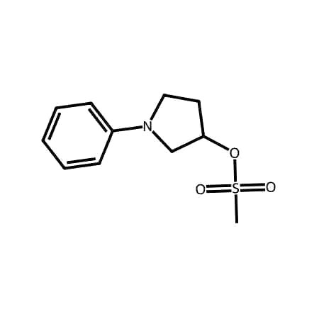 CS(=O)(=O)OC1CCN(c2ccccc2)C1